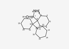 CC1CCCCC1(C(N)=O)C1(N2CCCCC2)CCCCC1